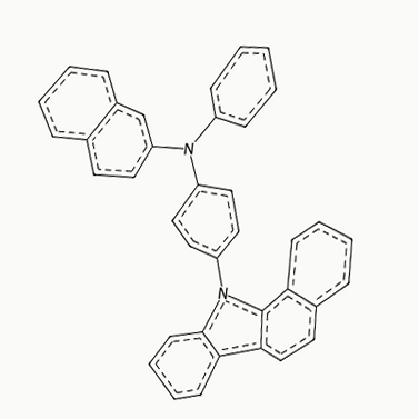 c1ccc(N(c2ccc(-n3c4ccccc4c4ccc5ccccc5c43)cc2)c2ccc3ccccc3c2)cc1